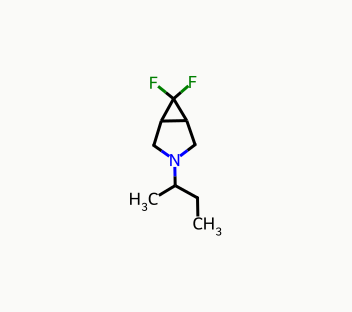 CCC(C)N1CC2C(C1)C2(F)F